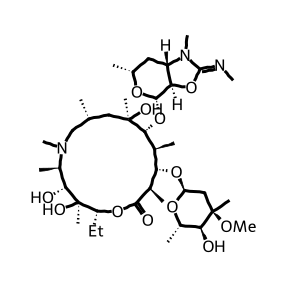 CC[C@H]1OC(=O)[C@H](C)[C@@H](O[C@H]2C[C@@](C)(OC)[C@@H](O)[C@H](C)O2)[C@H](C)[C@@H](O[C@@H]2O[C@H](C)C[C@H]3[C@H]2OC(=NC)N3C)[C@](C)(O)C[C@@H](C)CN(C)[C@H](C)[C@@H](O)[C@]1(C)O